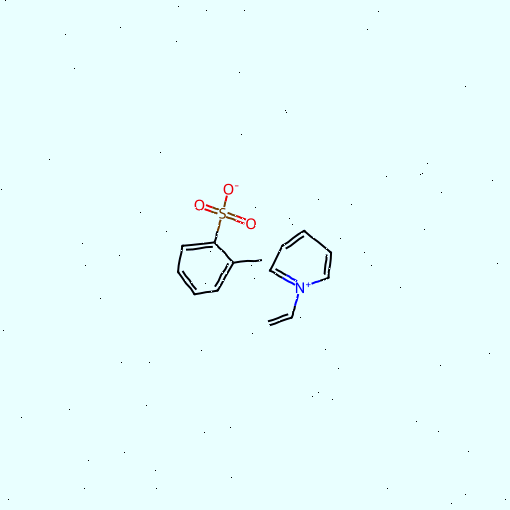 C=C[n+]1ccccc1.Cc1ccccc1S(=O)(=O)[O-]